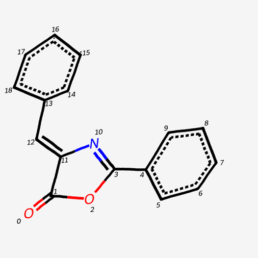 O=C1OC(c2ccccc2)=N/C1=C\c1c[c][c]cc1